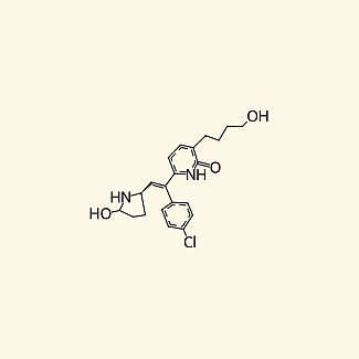 O=c1[nH]c(/C(=C/[C@H]2CCC(O)N2)c2ccc(Cl)cc2)ccc1CCCCO